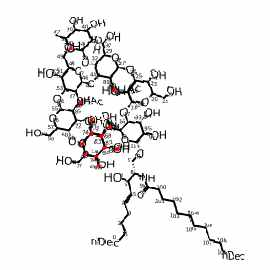 CCCCCCCCCCCCC/C=C/[C@@H](O)[C@H](CO[C@@H]1OC(CO)[C@@H](O[C@@H]2OC(CO)[C@H](O)[C@H](O[C@@H]3OC(CO)[C@@H](O[C@H]4OC(C)[C@@H](O)C(O)[C@@H]4O)[C@H](O[C@@H]4OC(CO)[C@H](O)[C@H](O[C@@H]5OC(CO)[C@@H](O[C@H]6OC(C)[C@@H](O)C(O)[C@@H]6O)[C@H](O[C@@H]6OC(CO)[C@H](O)[C@H](O)C6O)C5NC(C)=O)C4O)C3NC(C)=O)C2O)[C@H](O)C1O)NC(=O)CCCCCCCCCCCCCCCCCCC